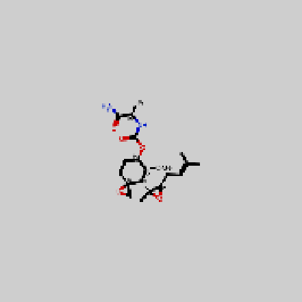 CO[C@H]1[C@H](C2(C)O[C@@H]2CC=C(C)C)[C@]2(CC[C@H]1OC(=O)N[C@@H](C(N)=O)C(C)C)CO2